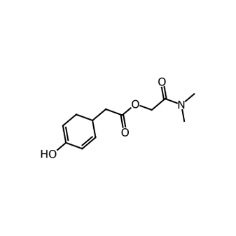 CN(C)C(=O)COC(=O)CC1C=CC(O)=CC1